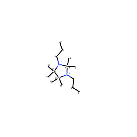 CCCN1[Si](C)(C)N(CCC)[Si](C)(C)[Si]1(C)C